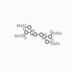 COC(=O)c1cccc(-c2nc3ccc(-c4ccc5nc(-c6cccc(C(=O)OC)c6)c(-c6cccc(C(=O)OC)c6)nc5c4)cc3nc2-c2cccc(C(=O)OC)c2)c1